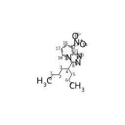 CCCCC(CCC)c1nnc2c([N+](=O)[O-])cccn12